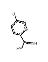 CCCC(=N)c1ccc(Cl)nn1